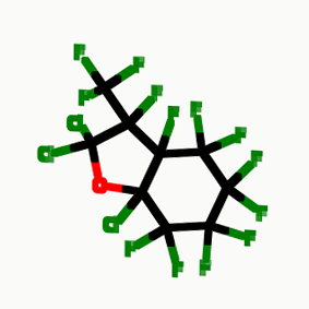 FC(F)(F)C1(F)C(Cl)(Cl)OC2(Cl)C(F)(F)C(F)(F)C(F)(F)C(F)(F)C21F